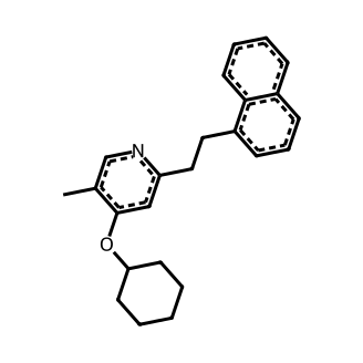 Cc1cnc(CCc2cccc3ccccc23)cc1OC1CCCCC1